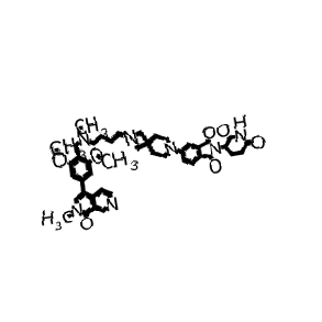 COc1cc(-c2cn(C)c(=O)c3cnccc23)cc(OC)c1CN(C)CCCCN1CC2(CCN(c3ccc4c(c3)C(=O)N(C3CCC(=O)NC3=O)C4=O)CC2)C1